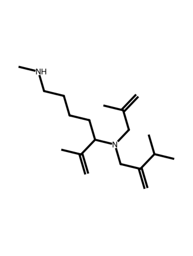 C=C(C)CN(CC(=C)C(C)C)C(CCCCNC)C(=C)C